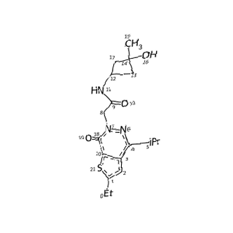 CCc1cc2c(C(C)C)nn(CC(=O)NC3CC(C)(O)C3)c(=O)c2s1